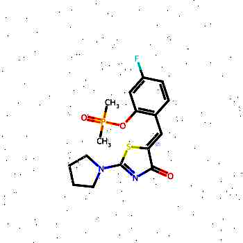 CP(C)(=O)Oc1cc(F)ccc1/C=C1\SC(N2CCCC2)=NC1=O